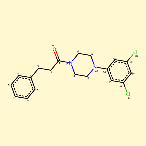 O=C(C[CH]c1ccccc1)N1CCN(c2cc(Cl)cc(Cl)c2)CC1